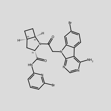 Nc1ncnc2c1c1ccc(Br)cc1n2CC(=O)N1[C@@H]2CC[C@@H]2C[C@H]1C(=O)Nc1cccc(Br)n1